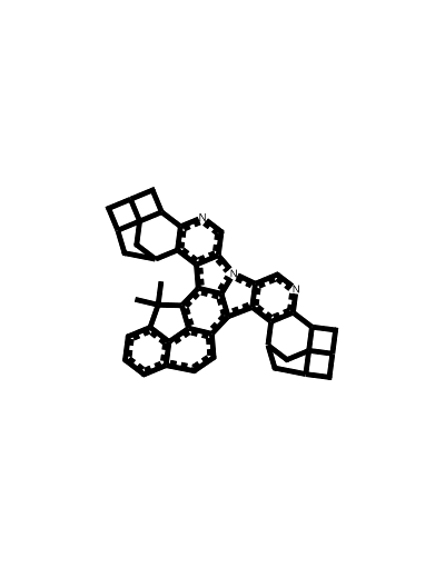 CC1(C)c2cccc3ccc4c(c1c1c5c6c(ncc5n5c7cnc8c(c7c4c15)C1CC4CC5CC8C45C1)C1CC4CC5CC6CC541)c23